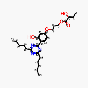 CC=C(O)C(=O)OCCCOc1ccc(-c2nc(CCCCC)nc(CCCCC)n2)c(O)c1